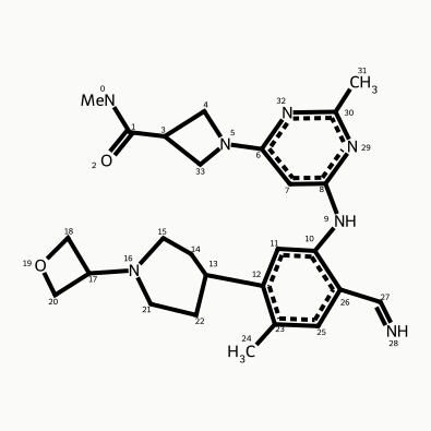 CNC(=O)C1CN(c2cc(Nc3cc(C4CCN(C5COC5)CC4)c(C)cc3C=N)nc(C)n2)C1